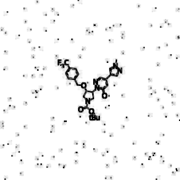 Cn1cc(-c2cnn(C3CN(C(=O)OC(C)(C)C)CC3OCc3ccc(C(F)(F)F)cc3)c(=O)c2)cn1